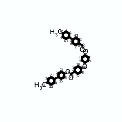 Cc1ccc(-c2ccc(COOc3ccc(Oc4ccc(C(=O)Oc5ccc(-c6ccc(C)cc6)cc5)cc4)cc3)cc2)cc1